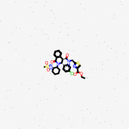 CCOC(=O)c1csc(CNC(=O)[C@@H]2c3ccccc3C(=O)N(C3CCCC[C@@H]3NS(C)(=O)=O)[C@H]2c2ccc(Cl)cc2)n1